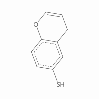 Sc1ccc2c(c1)CC=CO2